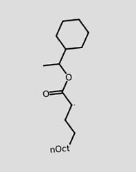 CCCCCCCCCC[CH]C(=O)OC(C)C1CCCCC1